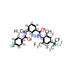 Cc1cc(C(F)(C(F)(F)F)C(F)(F)F)cc(C(F)(F)F)c1NC(=O)c1cccc(N(C)C(=O)c2ccc(F)cc2)c1F